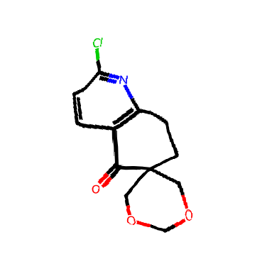 O=C1c2ccc(Cl)nc2CCC12COCOC2